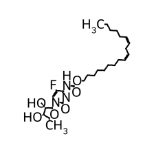 CCCCC/C=C\C/C=C\CCCCCCCCOC(=O)Nc1nc(=O)n([C@@H]2O[C@@H](C)[C@H](O)[C@H]2O)cc1F